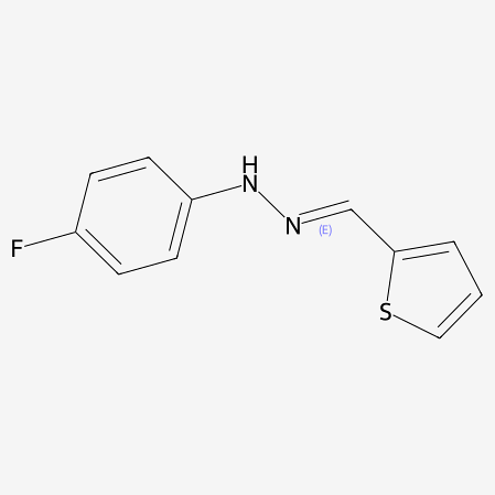 Fc1ccc(N/N=C/c2cccs2)cc1